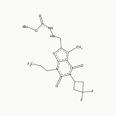 Cc1c(CNNC(=O)OC(C)(C)C)sc2c1c(=O)n(C1CC(F)(F)C1)c(=O)n2CCC(F)(F)F